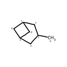 CC1C[C]2CC(C2)C1